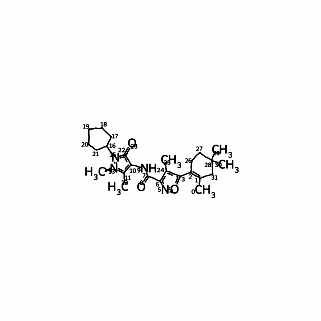 CC1=C(c2onc(C(=O)Nc3c(C)n(C)n(C4CCCCC4)c3=O)c2C)CCC(C)(C)C1